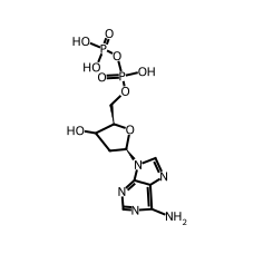 Nc1ncnc2c1ncn2[C@H]1CC(O)[C@@H](COP(=O)(O)OP(=O)(O)O)O1